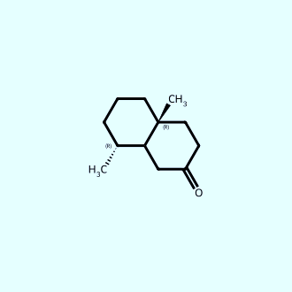 C[C@@H]1CCC[C@]2(C)CCC(=O)CC12